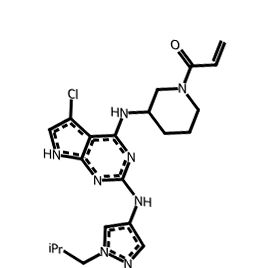 C=CC(=O)N1CCCC(Nc2nc(Nc3cnn(CC(C)C)c3)nc3[nH]cc(Cl)c23)C1